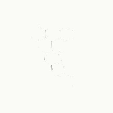 CCCN(C)c1ccc2nc(C)n(C(c3ccccc3)c3ccccc3)c(=O)c2c1